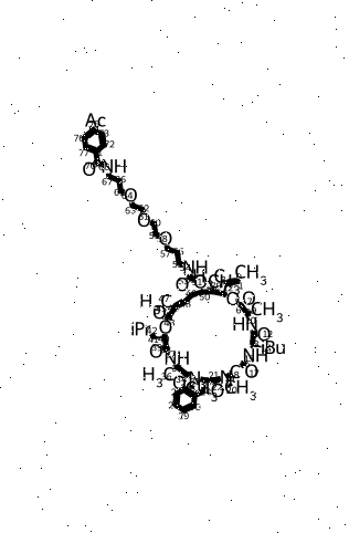 C/C=C(\C)[C@H]1OC(=O)[C@@H](C)NC(=O)[C@H]([C@H](C)CC)NC(=O)CN(C)C(=O)[C@@H](Cc2ccccc2)N(C)C(=O)[C@H](C)NC(=O)[C@@H](CC(C)C)OC(=O)/C(C)=C/C[C@H](OC(=O)NCCCOCCOCCOCCCNC(=O)c2ccc(C(C)=O)cc2)[C@@H]1C